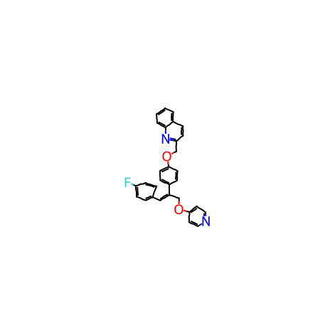 Fc1ccc(/C=C(/COc2ccncc2)c2ccc(OCc3ccc4ccccc4n3)cc2)cc1